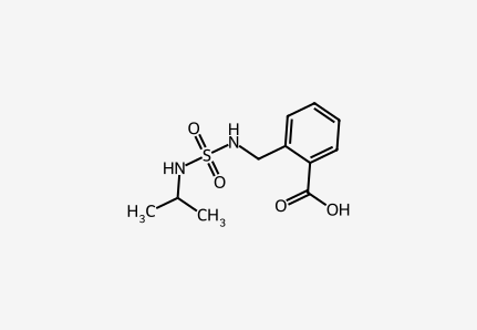 CC(C)NS(=O)(=O)NCc1ccccc1C(=O)O